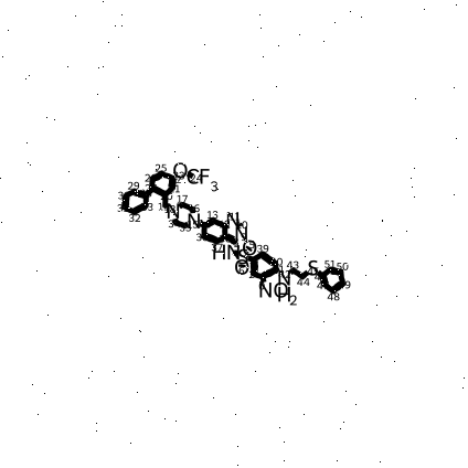 O=[N+]([O-])c1cc(S(=O)(=O)Nc2ncnc3cc(N4CCN(Cc5cc(OC(F)(F)F)ccc5-c5ccccc5)CC4)ccc23)ccc1NCCSc1ccccc1